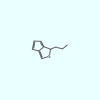 CCC[C]1SC=C2C=CC=C12